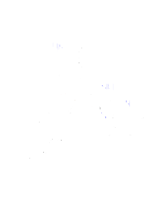 Cc1ccc(CCS(=O)(=O)C(Nc2ncccn2)C2CCNCC2)cc1